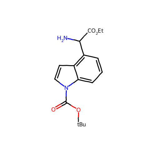 CCOC(=O)C(N)c1cccc2c1ccn2C(=O)OC(C)(C)C